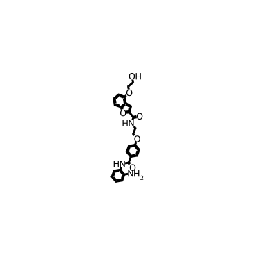 Nc1ccccc1NC(=O)c1ccc(OCCNC(=O)c2cc3c(OCCO)cccc3o2)cc1